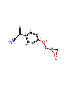 C=C(C#N)c1ccc(OCC2CO2)cc1